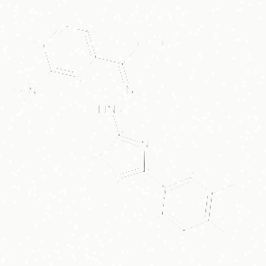 O=C(O)C(=NNc1nc(-c2ccc(Cl)c(Cl)c2)cs1)c1cccc([N+](=O)[O-])c1